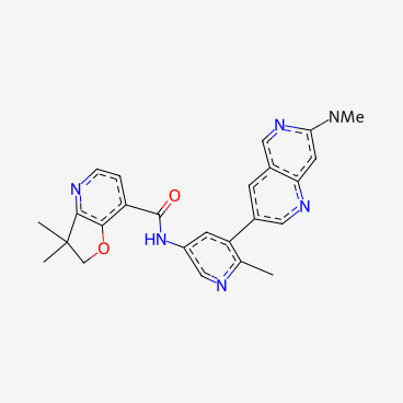 CNc1cc2ncc(-c3cc(NC(=O)c4ccnc5c4OCC5(C)C)cnc3C)cc2cn1